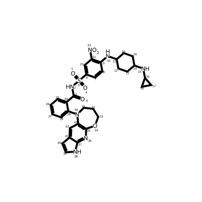 O=C(NS(=O)(=O)c1ccc(NC2CCC(NC3CC3)CC2)c([N+](=O)[O-])c1)c1ccccc1N1CCCOc2nc3[nH]ccc3cc21